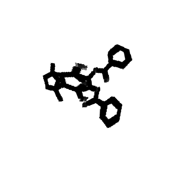 CC(C)C12OC(C(C)C)(C(OC(=O)c3ccccc3)C1OC(=O)c1ccccc1)C1C2C2(C)CCC1(C)C2